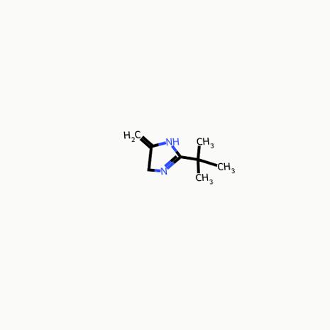 C=C1CN=C(C(C)(C)C)N1